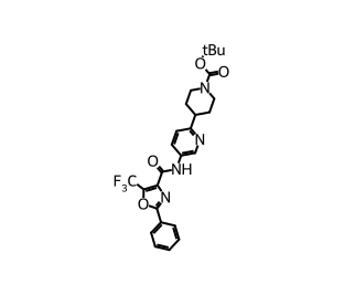 CC(C)(C)OC(=O)N1CCC(c2ccc(NC(=O)c3nc(-c4ccccc4)oc3C(F)(F)F)cn2)CC1